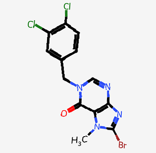 Cn1c(Br)nc2ncn(Cc3ccc(Cl)c(Cl)c3)c(=O)c21